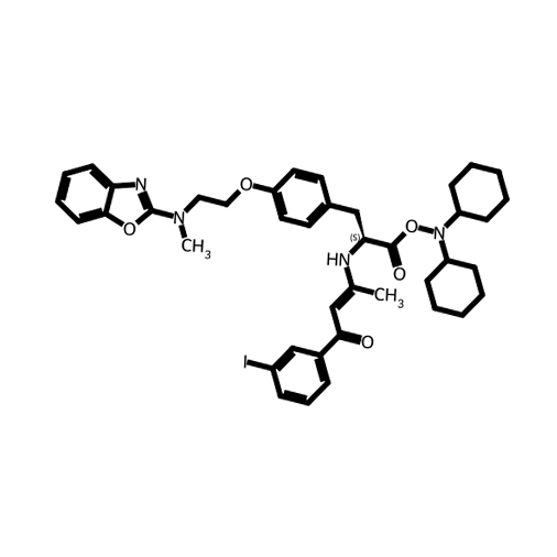 CC(=CC(=O)c1cccc(I)c1)N[C@@H](Cc1ccc(OCCN(C)c2nc3ccccc3o2)cc1)C(=O)ON(C1CCCCC1)C1CCCCC1